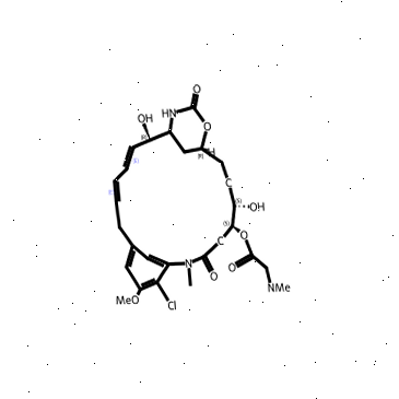 CNCC(=O)O[C@H]1CC(=O)N(C)c2cc(cc(OC)c2Cl)C/C=C/C=C/[C@@H](O)C2C[C@@H](CC[C@@H]1O)OC(=O)N2